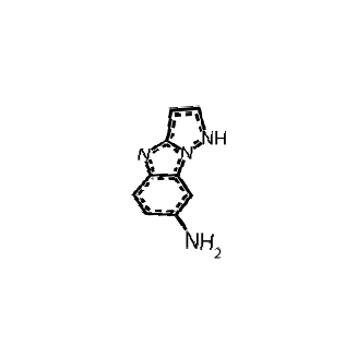 Nc1ccc2nc3cc[nH]n3c2c1